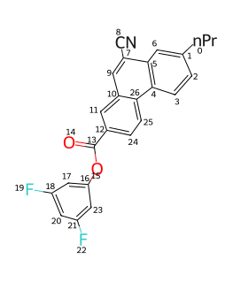 CCCc1ccc2c(c1)c(C#N)cc1cc(C(=O)Oc3cc(F)cc(F)c3)ccc12